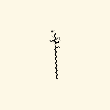 CCCCCCCCCCCCCCC(=O)O[C@@H](C=O)[C@@H](O)[C@H](O)[C@H](O)CO